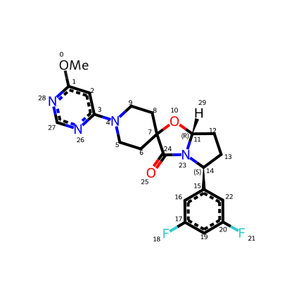 COc1cc(N2CCC3(CC2)O[C@@H]2CC[C@@H](c4cc(F)cc(F)c4)N2C3=O)ncn1